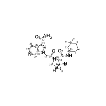 CC1(C)CCC[C@@H](NC(=O)[C@@H]2[C@@H]3C[C@@H]3CN2C(=O)Cn2nc(C(N)=O)c3ccncc32)C1